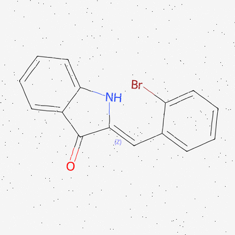 O=C1/C(=C/c2ccccc2Br)Nc2ccccc21